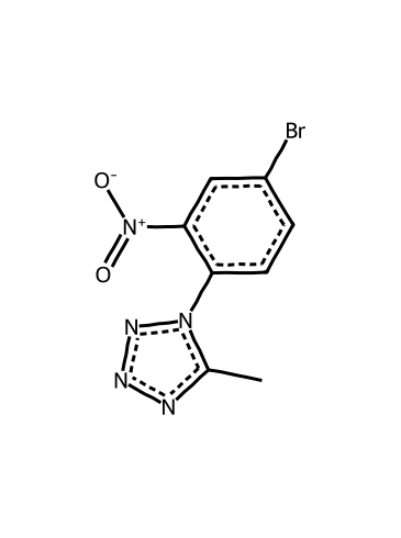 Cc1nnnn1-c1ccc(Br)cc1[N+](=O)[O-]